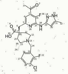 CC(=O)c1cc(C[C@@]2(C(=O)O)CCN(Cc3cccc(Cl)c3F)[C@H](C)C2)nc(Nc2cc(C)[nH]n2)c1F